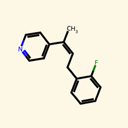 C/C(=C/Cc1ccccc1F)c1ccncc1